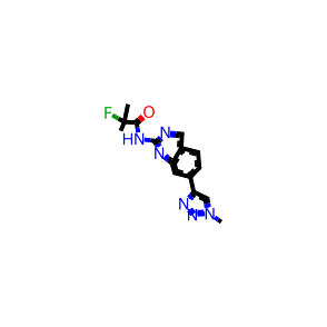 Cn1cc(-c2ccc3cnc(NC(=O)C(C)(C)F)nc3c2)nn1